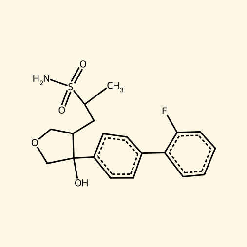 CC(CC1COCC1(O)c1ccc(-c2ccccc2F)cc1)S(N)(=O)=O